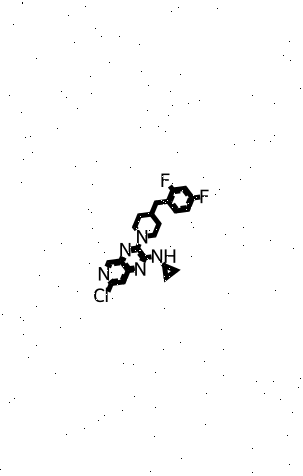 Fc1ccc(CC2CCN(c3nc4cnc(Cl)cc4nc3NC3CC3)CC2)c(F)c1